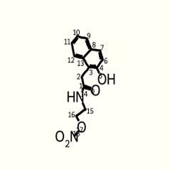 O=C(Cc1c(O)ccc2ccccc12)NCCO[N+](=O)[O-]